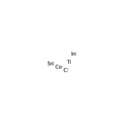 [C].[Co].[In].[Sn].[Ti]